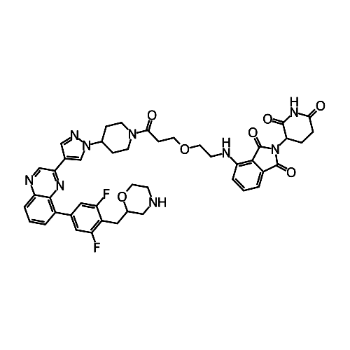 O=C1CCC(N2C(=O)c3cccc(NCCOCCC(=O)N4CCC(n5cc(-c6cnc7cccc(-c8cc(F)c(CC9CNCCO9)c(F)c8)c7n6)cn5)CC4)c3C2=O)C(=O)N1